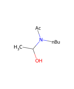 CCCCN(C(C)=O)C(C)O